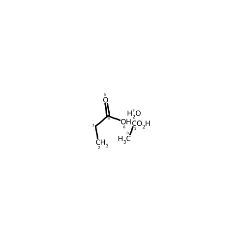 CC(=O)O.CCC(=O)O.O